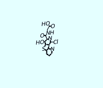 O=C(O)CNC(=O)c1nc(Cl)c2c(sc3cccnc32)c1O